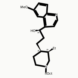 CCCCCCCCN1CC[C@@H](CC[C@@H](O)c2ccnc3ccc(OC)cc23)[C@@H](CC)C1